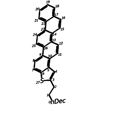 CCCCCCCCCCCCc1cc2c(ccc3c2ccc2c4ccc5ccccc5c4ccc32)s1